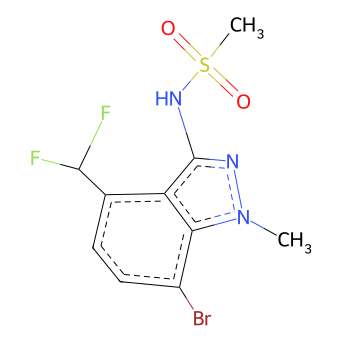 Cn1nc(NS(C)(=O)=O)c2c(C(F)F)ccc(Br)c21